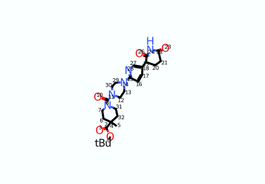 CC(C)(C)OC(=O)C1(C)CCN(C(=O)N2CCN(c3ccc(C4CCC(=O)NC4=O)cn3)CC2)CC1